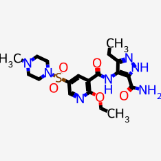 CCOc1ncc(S(=O)(=O)N2CCN(C)CC2)cc1C(=O)Nc1c(CC)n[nH]c1C(N)=O